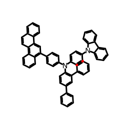 c1ccc(-c2ccc(N(c3ccc(-c4cc5c6ccccc6ccc5c5ccccc45)cc3)c3ccc(-n4c5ccccc5c5ccccc54)cc3)c(-c3ccccc3)c2)cc1